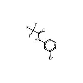 O=C(Nc1cncc(Br)c1)C(F)(F)F